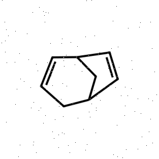 C1=CC2C=CC(C1)C2